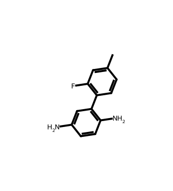 Cc1ccc(-c2cc(N)ccc2N)c(F)c1